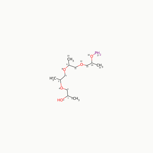 CC(O)COC(C)COC(C)COCC(C)OP